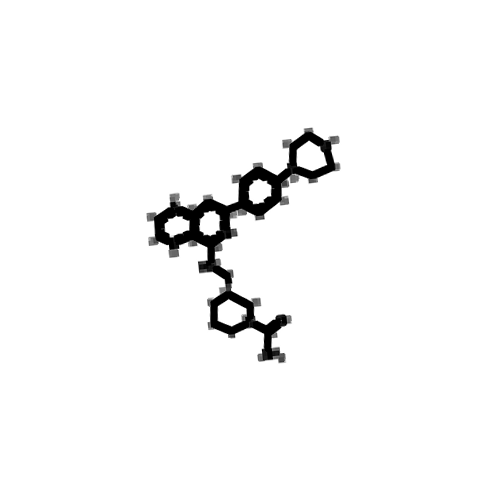 NC(=O)N1CCC[C@H](CNc2nc(-c3ccc(N4CCOCC4)cc3)cc3nccnc23)C1